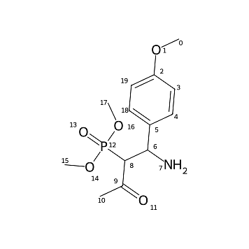 COc1ccc(C(N)C(C(C)=O)P(=O)(OC)OC)cc1